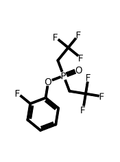 O=P(CC(F)(F)F)(CC(F)(F)F)Oc1ccccc1F